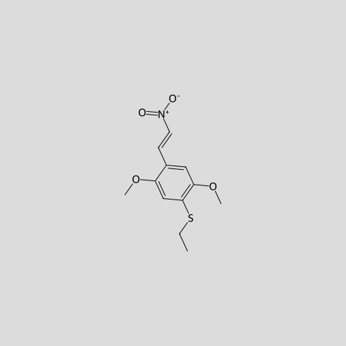 CCSc1cc(OC)c(C=C[N+](=O)[O-])cc1OC